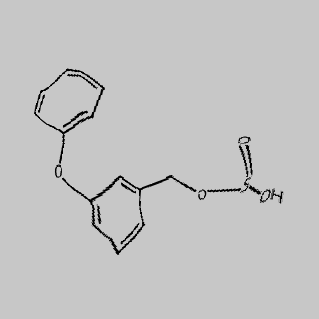 O=S(O)OCc1cccc(Oc2ccccc2)c1